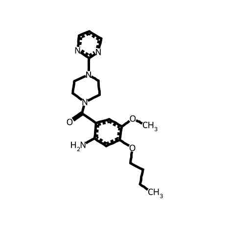 CCCCOc1cc(N)c(C(=O)N2CCN(c3ncccn3)CC2)cc1OC